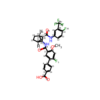 COc1cc(F)c(-c2ccc(C(=O)O)cc2)cc1C(=O)N[C@H]1[C@@H]2CC[C@@H](C2)[C@H]1C(=O)Nc1ccc(F)c(C(F)(F)F)c1